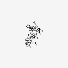 COc1nc(C)nc2c1ncn2[C@@H]1O[C@H](COP(=S)(NC(C)C(=O)OC(C)C)Oc2ccccc2)[C@@H](O)[C@@]1(C)O